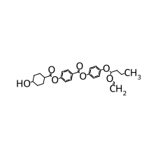 C=COC(CCC)Oc1ccc(OC(=O)c2ccc(OC(=O)C3CCC(O)CC3)cc2)cc1